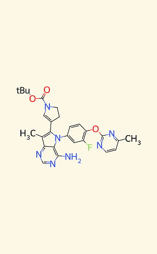 Cc1ccnc(Oc2ccc(-n3c(C4=CN(C(=O)OC(C)(C)C)CC4)c(C)c4ncnc(N)c43)cc2F)n1